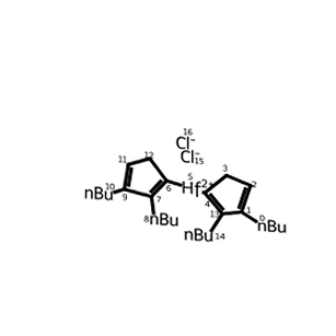 CCCCC1=CC[C]([Hf+2][C]2=C(CCCC)C(CCCC)=CC2)=C1CCCC.[Cl-].[Cl-]